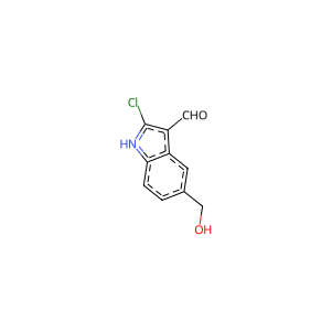 O=Cc1c(Cl)[nH]c2ccc(CO)cc12